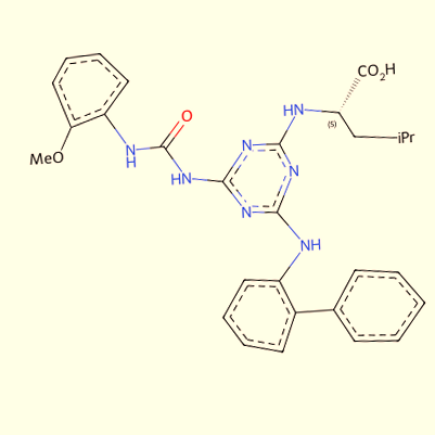 COc1ccccc1NC(=O)Nc1nc(Nc2ccccc2-c2ccccc2)nc(N[C@@H](CC(C)C)C(=O)O)n1